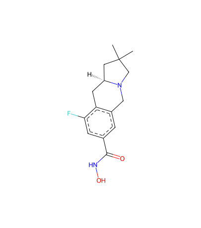 CC1(C)C[C@@H]2Cc3c(F)cc(C(=O)NO)cc3CN2C1